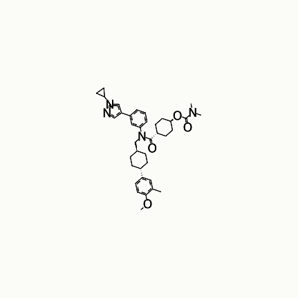 COc1ccc([C@H]2CC[C@H](CN(c3cccc(-c4cnn(C5CC5)c4)c3)C(=O)[C@H]3CC[C@H](OC(=O)N(C)C)CC3)CC2)cc1C